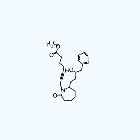 COC(=O)CCCC#CCN1C(=O)CCCCC1CCC(O)Cc1ccccc1